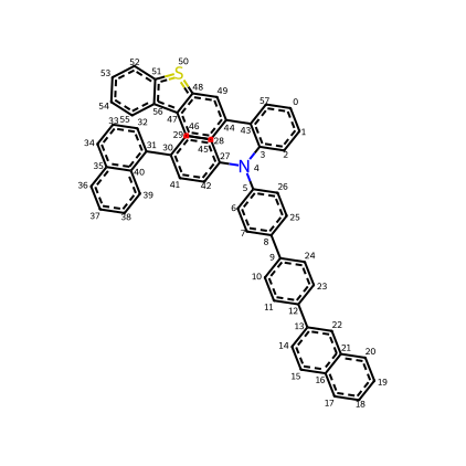 c1ccc(N(c2ccc(-c3ccc(-c4ccc5ccccc5c4)cc3)cc2)c2ccc(-c3cccc4ccccc34)cc2)c(-c2ccc3c(c2)sc2ccccc23)c1